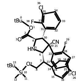 CC(C)(C)OC(=O)[C@@H]1N[C@@H](C(CO[Si](C)(C)C(C)(C)C)C2CC=CCC2)[C@](C#N)(c2ccc(Cl)cc2F)[C@H]1c1cccc(Cl)c1F